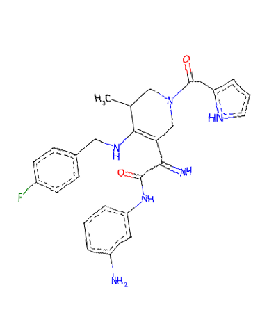 CC1CN(C(=O)c2ccc[nH]2)CC(C(=N)C(=O)Nc2cccc(N)c2)=C1NCc1ccc(F)cc1